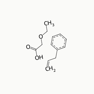 C=CCc1ccccc1.CCOCC(=O)O